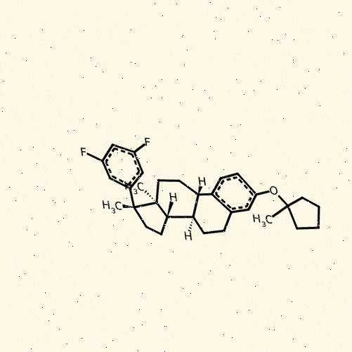 CC1(Oc2ccc3c(c2)CC[C@@H]2[C@@H]3CC[C@@]3(C)[C@H]2CC[C@]3(C)c2cc(F)cc(F)c2)CCCC1